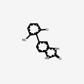 N#Cc1cccc(Cl)c1-c1ccc2[nH]c(=O)[nH]c2c1